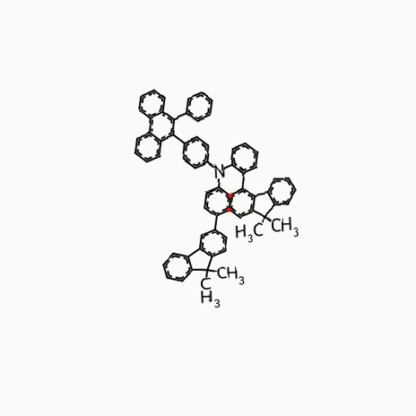 CC1(C)c2ccccc2-c2cc(-c3ccc(N(c4ccc(-c5c(-c6ccccc6)c6ccccc6c6ccccc56)cc4)c4ccccc4-c4cccc5c4-c4ccccc4C5(C)C)cc3)ccc21